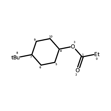 CCC(=O)OC1CCC(C(C)(C)C)CC1